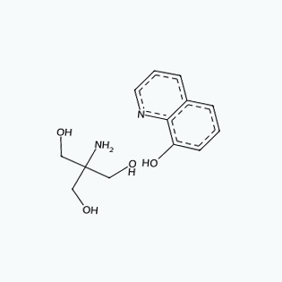 NC(CO)(CO)CO.Oc1cccc2cccnc12